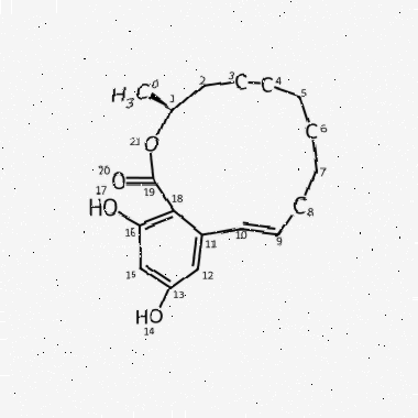 C[C@H]1CCCCCCC/C=C/c2cc(O)cc(O)c2C(=O)O1